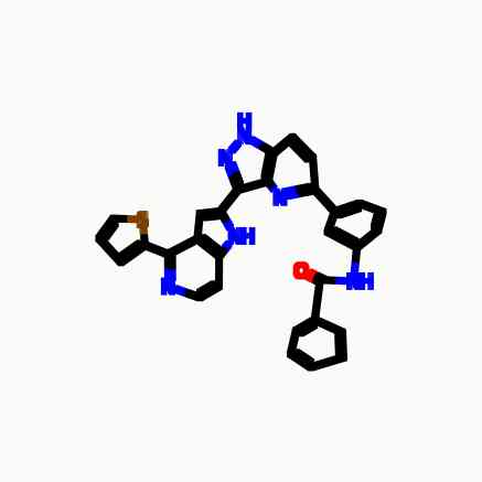 O=C(Nc1cccc(-c2ccc3[nH]nc(-c4cc5c(-c6cccs6)nccc5[nH]4)c3n2)c1)c1ccccc1